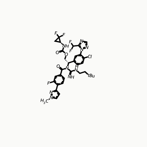 Cn1ccc(-c2ccc(C(=O)N(C(=N)NCCC(C)(C)C)[C@H](COC(=O)N[C@H]3CC3(F)F)c3ccc(Cl)c(-n4ncnc4C(F)F)c3)cc2F)n1